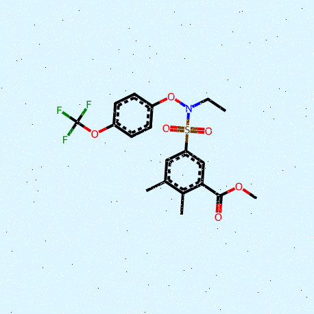 CCN(Oc1ccc(OC(F)(F)F)cc1)S(=O)(=O)c1cc(C)c(C)c(C(=O)OC)c1